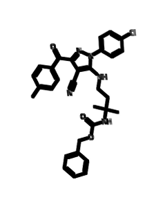 Cc1ccc(C(=O)c2nn(-c3ccc(Cl)cc3)c(NCCC(C)(C)NC(=O)OCc3ccccc3)c2C#N)cc1